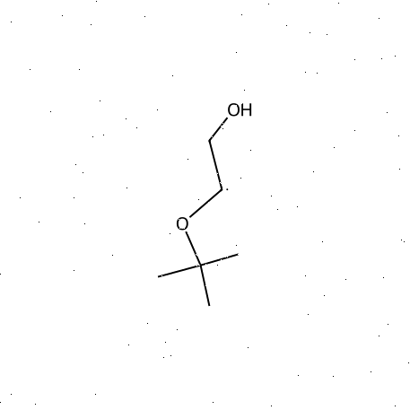 CC(C)(C)O[CH]CO